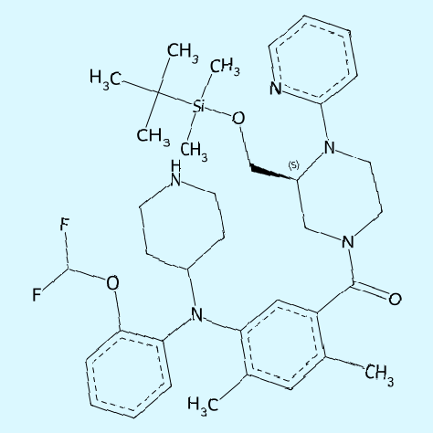 Cc1cc(C)c(N(c2ccccc2OC(F)F)C2CCNCC2)cc1C(=O)N1CCN(c2ccccn2)[C@H](CO[Si](C)(C)C(C)(C)C)C1